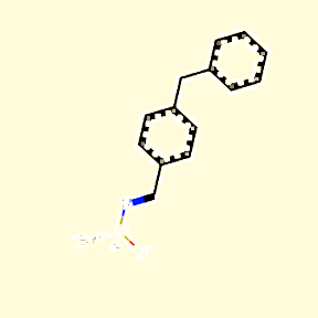 CC(C)(C)[S@@+]([O-])N=Cc1ccc(Cc2ccccc2)cc1